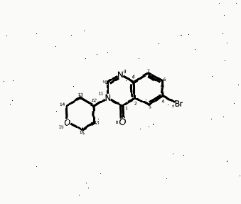 O=c1c2cc(Br)ccc2ncn1C1CCOCC1